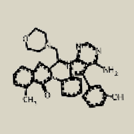 Cc1cccc2cc(Cn3nc(-c4cccc(O)c4)c4c(N)ncnc43)n(-c3ccccc3OCCN3CCOCC3)c(=O)c12